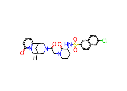 O=C(CN1CCC[C@H](NS(=O)(=O)c2ccc3cc(Cl)ccc3c2)C1=O)N1CC2C[C@@H](C1)Cn1c2cccc1=O